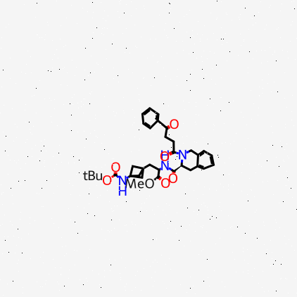 COC(=O)C(CC12CC(NC(=O)OC(C)(C)C)(C1)C2)NC(=O)[C@@H]1Cc2ccccc2CN1C(=O)CCC(=O)c1ccccc1